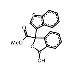 COC(=O)C1(c2csc3ccccc23)OB(O)c2ccccc21